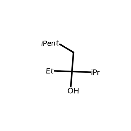 CCCC(C)CC(O)(CC)C(C)C